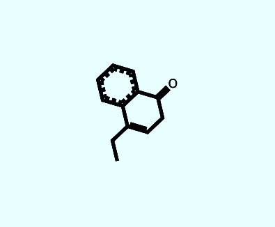 CCC1=CCC(=O)c2ccccc21